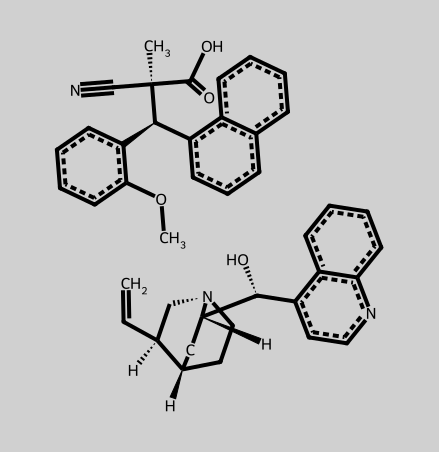 C=C[C@H]1C[N@]2CC[C@H]1C[C@H]2[C@H](O)c1ccnc2ccccc12.COc1ccccc1[C@H](c1cccc2ccccc12)[C@@](C)(C#N)C(=O)O